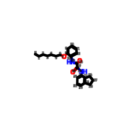 CCCCCCCOc1ccccc1NC(=O)C(=O)Nc1cccc2c1CCC2